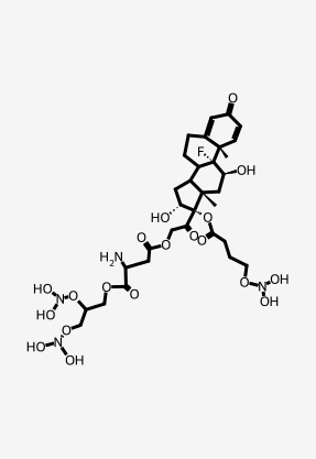 C[C@]12C=CC(=O)C=C1CCC1C3C[C@@H](O)[C@](OC(=O)CCCON(O)O)(C(=O)COC(=O)CC(N)C(=O)OCC(CON(O)O)ON(O)O)[C@@]3(C)C[C@H](O)[C@@]12F